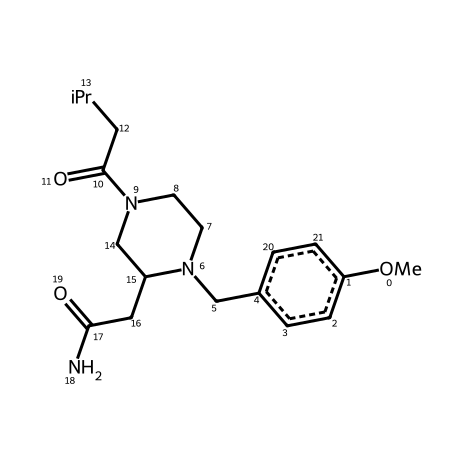 COc1ccc(CN2CCN(C(=O)CC(C)C)CC2CC(N)=O)cc1